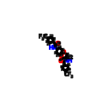 CCC1(NC(=O)c2ccc(C(F)(F)F)cc2)COC2(CCC(NC(=O)c3ccc(C(F)(F)F)cc3)CC2)OC1